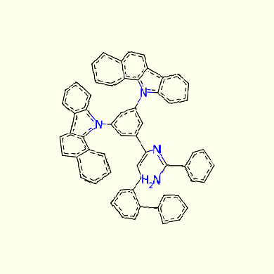 N/C(=N\C(=C/Cc1ccccc1-c1ccccc1)c1cc(-n2c3ccccc3c3ccc4ccccc4c32)cc(-n2c3ccccc3c3ccc4ccccc4c32)c1)c1ccccc1